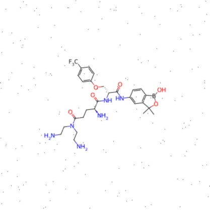 CC1(C)OB(O)c2ccc(NC(=O)[C@@H](COc3ccc(C(F)(F)F)cc3)NC(=O)[C@@H](N)CCC(=O)N(CCN)CCN)cc21